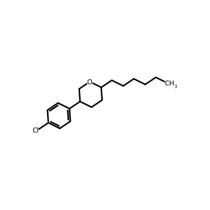 CCCCCCC1CCC(c2ccc(Cl)cc2)CO1